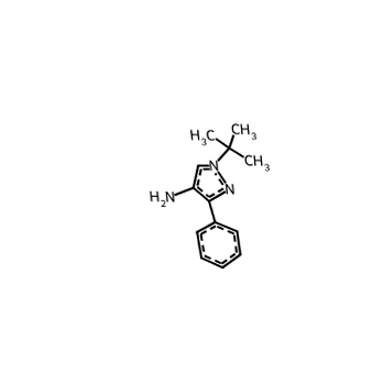 CC(C)(C)n1cc(N)c(-c2ccccc2)n1